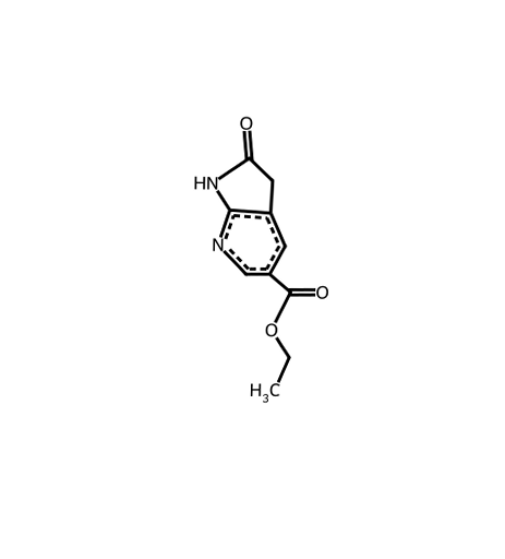 CCOC(=O)c1cnc2c(c1)CC(=O)N2